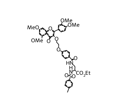 CCOC(=O)C(CNC(=O)c1ccc(OCCOc2c(-c3ccc(OC)c(OC)c3)oc3cc(OC)cc(OC)c3c2=O)cc1)NS(=O)(=O)c1ccc(C)cc1